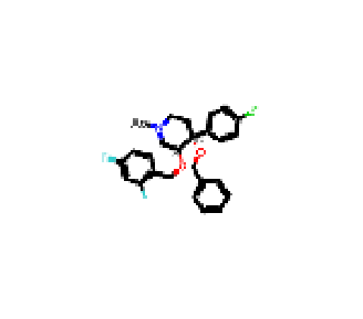 CC(=O)N1CC[C@@](OCc2ccccc2)(c2ccc(Cl)cc2)[C@@H](OCc2ccc(F)cc2F)C1